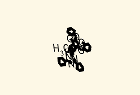 C[C@H]1SC2C(c3nc(-c4ccccc4)nc(-c4ccccc4)n3)=CC1c1c2c2oc3ccccc3oc2c2oc3ccccc3oc12